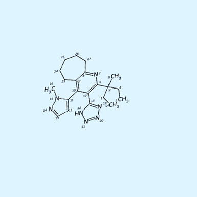 CCC(C)(CC)c1nc2c(c(-c3ccnn3C)c1-c1nnn[nH]1)CCCCC2